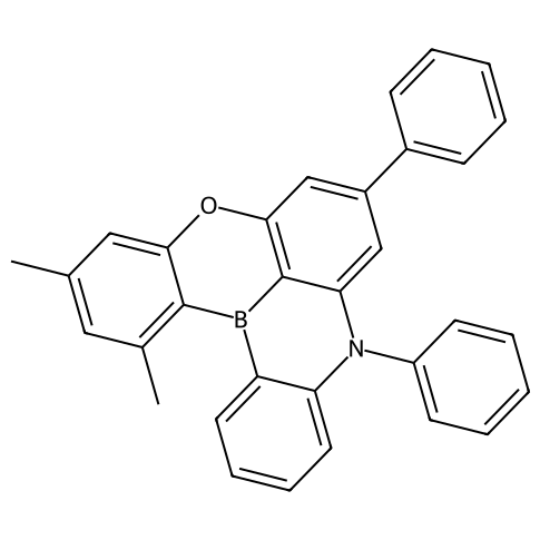 Cc1cc(C)c2c(c1)Oc1cc(-c3ccccc3)cc3c1B2c1ccccc1N3c1ccccc1